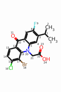 CC(C)c1cc2c(cc1F)c(=O)c1ccc(Cl)c(Br)c1n2CC(=O)O